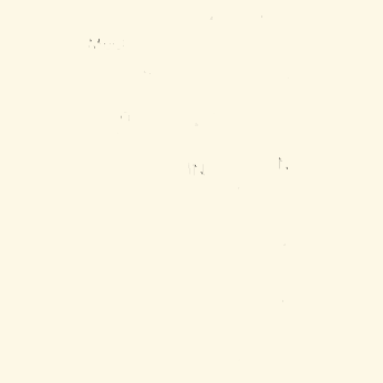 COC(=O)c1cccc2nc(-c3ccc(C)cc3)[nH]c12